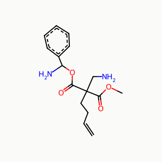 C=CCCC(CN)(C(=O)OC)C(=O)OC(N)c1ccccc1